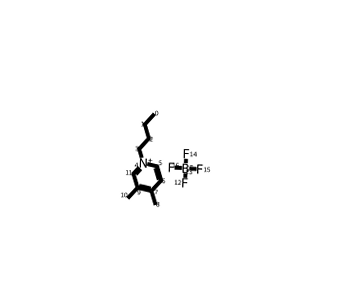 CCCC[n+]1ccc(C)c(C)c1.F[B-](F)(F)F